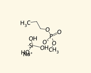 CCCOP(=O)([O-])OC.O[Si](O)O.[Na+]